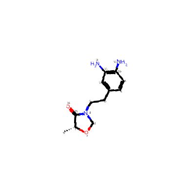 C[C@H]1OCN(CCc2ccc(N)c(N)c2)C1=O